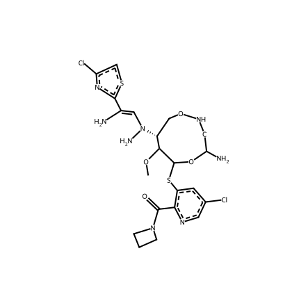 COC1C(Sc2cc(Cl)cnc2C(=O)N2CCC2)OC(N)CNOC[C@H]1N(N)/C=C(\N)c1nc(Cl)cs1